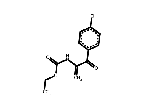 C=C(NC(=O)OCC(Cl)(Cl)Cl)C(=O)c1ccc(Cl)cc1